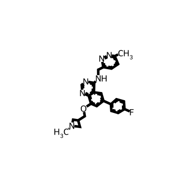 Cc1ccc(CNc2ncnc3c(OCC4CN(C)C4)cc(-c4ccc(F)cc4)cc23)nn1